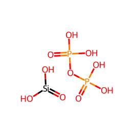 O=P(O)(O)OP(=O)(O)O.O=[Si](O)O